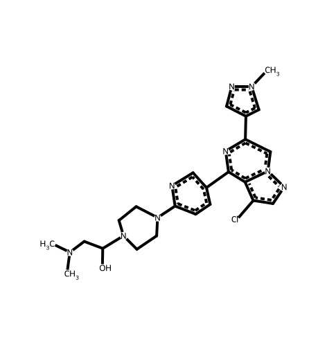 CN(C)CC(O)N1CCN(c2ccc(-c3nc(-c4cnn(C)c4)cn4ncc(Cl)c34)cn2)CC1